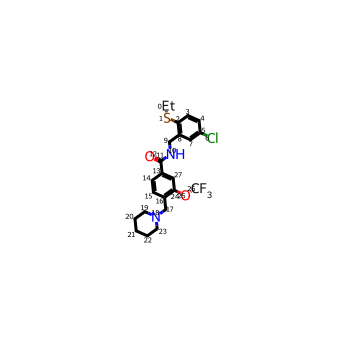 CCSc1ccc(Cl)cc1CNC(=O)c1ccc(CN2CCCCC2)c(OC(F)(F)F)c1